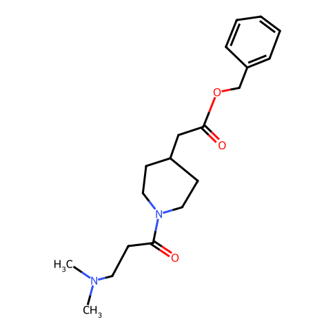 CN(C)CCC(=O)N1CCC(CC(=O)OCc2ccccc2)CC1